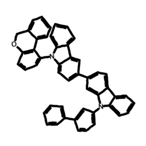 c1ccc(-c2cccc(-n3c4ccccc4c4ccc(-c5ccc6c(c5)c5ccccc5n6-c5cccc6c5-c5ccccc5CO6)cc43)c2)cc1